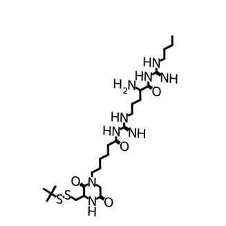 CCCCNC(=N)NC(=O)C(N)CCCNC(=N)NC(=O)CCCCCN1CC(=O)NC(CSSC(C)(C)C)C1=O